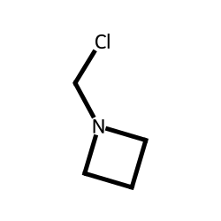 ClCN1CCC1